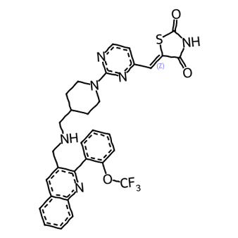 O=C1NC(=O)/C(=C/c2ccnc(N3CCC(CNCc4cc5ccccc5nc4-c4ccccc4OC(F)(F)F)CC3)n2)S1